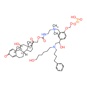 C[C@]12C=CC(=O)C=C1CC[C@@H]1C2[C@@H](O)C[C@@]2(C)C1CC[C@@H]2C(=O)COC(=O)NCC[N+](C)(C)Cc1cc(C(O)CN(CCCCCCO)CCCCc2ccccc2)ccc1OCOO[PH](=O)O